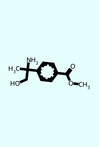 COC(=O)c1ccc(C(C)(N)CO)cc1